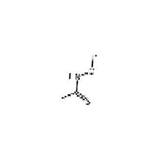 [CH2]ONC(C)=S